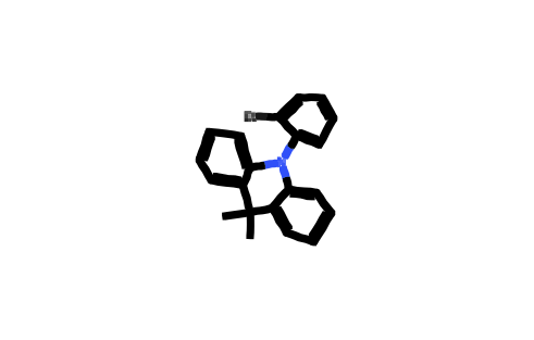 CCc1ccccc1N1c2ccccc2C(C)(C)c2ccccc21